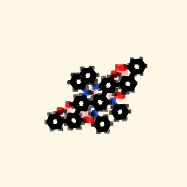 Oc1ccccc1-c1ccc(O)c2c1BOc1cc3c4c(c1-2)BN(c1ccccc1)c1cc2c5c(c1-4)B(N3c1ccccc1)N(c1ccccc1)c1cc3c(c(c1-5)BN2c1ccccc1)-c1c(O)ccc2c1B(Oc1ccccc1-2)O3